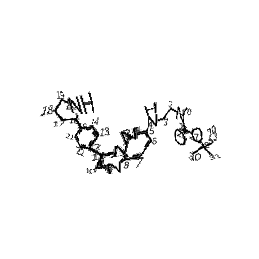 CN(CCNc1ccc2ncc(-c3ccc(C4CCCN4)cc3)n2n1)C(=O)OC(C)(C)C